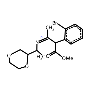 COC(=O)C(/C(C)=N\C(C)C1COCCO1)c1ccccc1Br